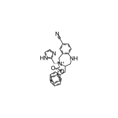 N#Cc1ccc2c(c1)C[N@+](Cc1ncc[nH]1)(S(=O)(=O)c1ccccc1)C(Cc1ccccc1)CN2